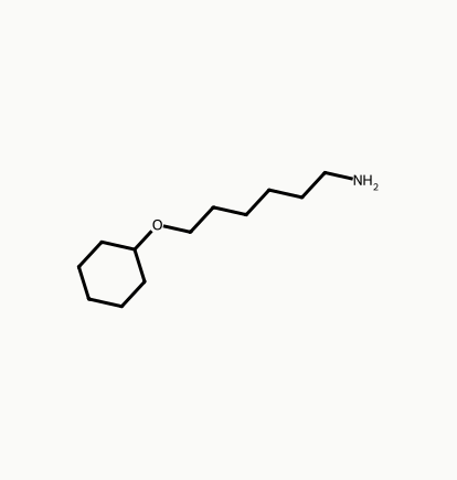 NCCCCCCOC1CCCCC1